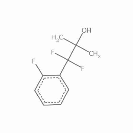 CC(C)(O)C(F)(F)c1ccccc1F